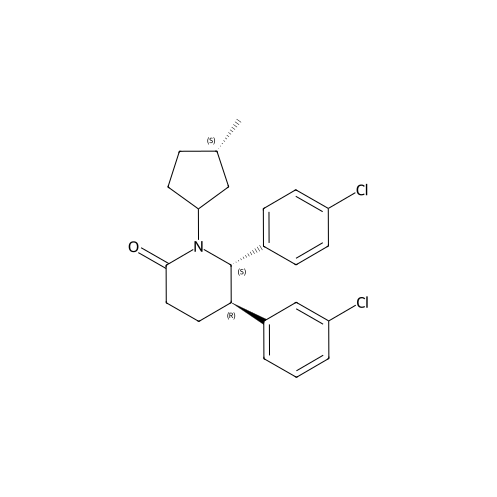 C[C@H]1CCC(N2C(=O)CC[C@H](c3cccc(Cl)c3)[C@H]2c2ccc(Cl)cc2)C1